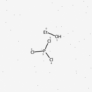 CCO.ClP(Cl)Cl